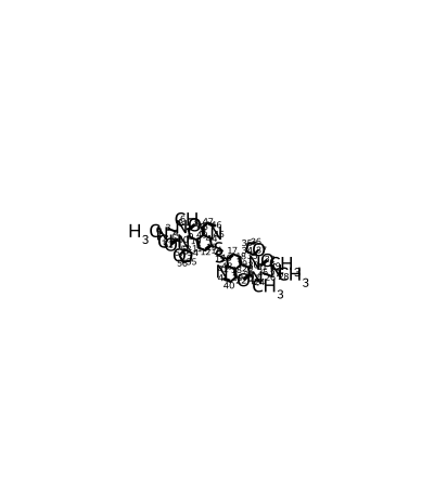 CN(C)CCN(C)C(=O)C(c1ccc(SSc2ccc(C(C(=O)N(C)CCN(C)C)N(C=O)C3CCCO3)c3cccnc23)c2ncccc12)N(C=O)C1CCCO1